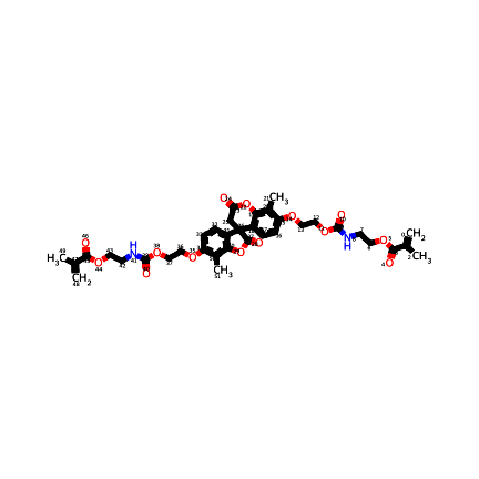 C=C(C)C(=O)OCCNC(=O)OCCOc1ccc2c(c1C)OC(=O)CC21C(=O)Oc2c1ccc(OCCOC(=O)NCCOC(=O)C(=C)C)c2C